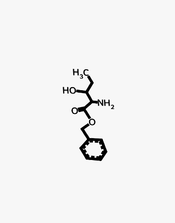 CCC(O)C(N)C(=O)OCc1ccccc1